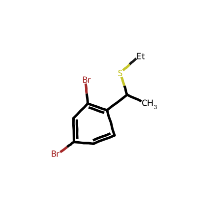 CCSC(C)c1ccc(Br)cc1Br